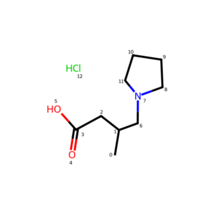 CC(CC(=O)O)CN1CCCC1.Cl